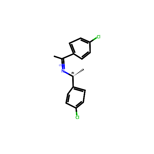 C/C(=N/[C@H](C)c1ccc(Cl)cc1)c1ccc(Cl)cc1